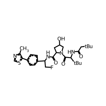 Cc1ncsc1-c1ccc(C(CF)NC(=O)C2CC(O)CN2C(=O)C(NC(=O)CC(C)(C)C)C(C)(C)C)cc1